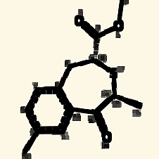 COC(=O)[C@H]1Cc2ccc(C)cc2C(=O)[C@H](C)S1